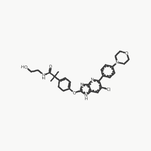 CC(C)(C(=O)NCCO)C1=CC=C(Oc2nc3nc(-c4ccc(N5CCOCC5)cc4)c(Cl)cc3[nH]2)CC1